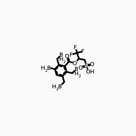 BCc1cc(B)c(CB)c(C(=O)OC(CS(=O)(=O)O)C(F)(F)F)c1CB